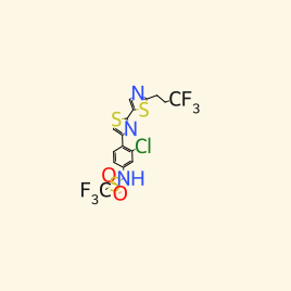 O=S(=O)(Nc1ccc(-c2csc(-c3cnc(CCC(F)(F)F)s3)n2)c(Cl)c1)C(F)(F)F